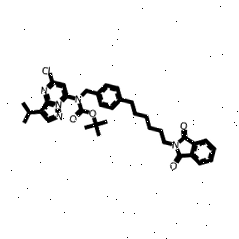 CC(C)c1cnn2c(N(Cc3ccc(CCCCCCN4C(=O)c5ccccc5C4=O)cc3)C(=O)OC(C)(C)C)cc(Cl)nc12